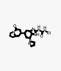 CCNC(=O)Nc1nc2cc(-c3cc4n(c(=O)c3)CCC4)cc(-n3cccn3)c2[nH]1